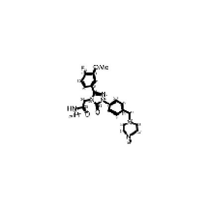 COc1cc(-c2nn(-c3ccc(CN4CCN(C)CC4)cc3)c(=O)n2CC(=O)NC(C)C)ccc1F